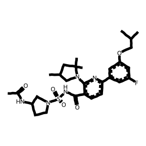 CC(=O)NC1CCN(S(=O)(=O)NC(=O)c2ccc(-c3cc(F)cc(OCC(C)C)c3)nc2N2CC(C)CC2(C)C)C1